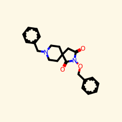 O=C1CC2(CCN(Cc3ccccc3)CC2)C(=O)N1OCc1ccccc1